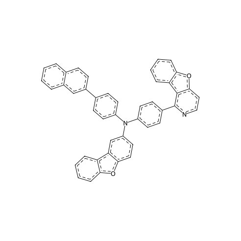 c1ccc2cc(-c3ccc(N(c4ccc(-c5nccc6oc7ccccc7c56)cc4)c4ccc5oc6ccccc6c5c4)cc3)ccc2c1